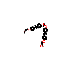 CC(C)(Oc1ccc(C(C)(C)c2ccc(OCC3CO3)cc2)cc1)Oc1ccc(C(C)(C)c2ccc(OCC3CO3)cc2)cc1